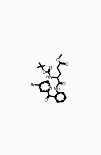 COC(=O)CCC(NC(=O)OC(C)(C)C)C(=O)Nc1ccccc1C(=O)c1cc(Br)ccn1